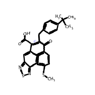 CSc1ccc(C(=O)/C(Cc2ccc(C(C)(C)C)cc2)=C(/C(=O)O)c2ccc3nsnc3c2)cc1